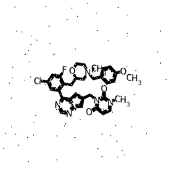 COc1ccc(C[N+]2(C)CCOC(Cc3c(F)cc(Cl)cc3-c3ncnn4cc(Cn5c(=O)ccn(C)c5=O)cc34)C2)cc1